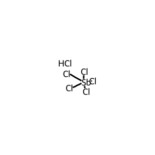 Cl.[Cl][Sb]([Cl])([Cl])([Cl])[Cl]